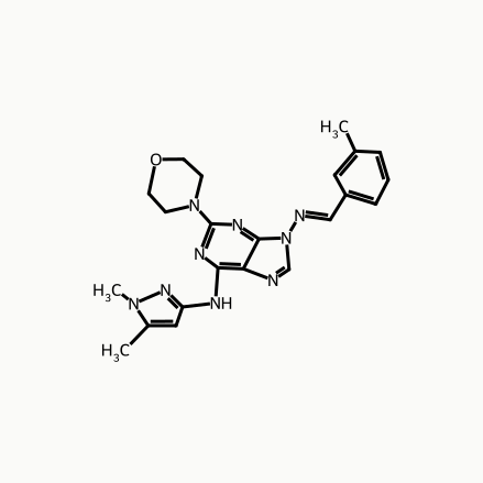 Cc1cccc(C=Nn2cnc3c(Nc4cc(C)n(C)n4)nc(N4CCOCC4)nc32)c1